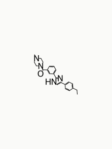 CCc1ccc(-c2c[nH]c(-c3cccc(C(=O)N4CCN(C)CC4)c3)n2)cc1